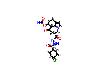 NC(=O)O[C@H]1CCc2ccn3c2C1C(=O)C[C@H](C(=O)NNC(=O)c1ccc(Br)cc1)C3